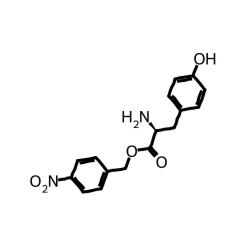 N[C@@H](Cc1ccc(O)cc1)C(=O)OCc1ccc([N+](=O)[O-])cc1